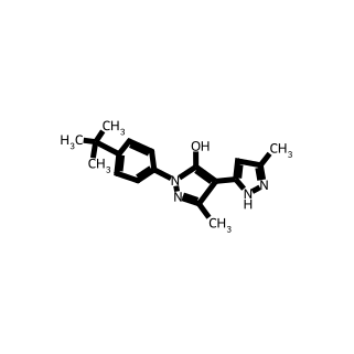 Cc1cc(-c2c(C)nn(-c3ccc(C(C)(C)C)cc3)c2O)[nH]n1